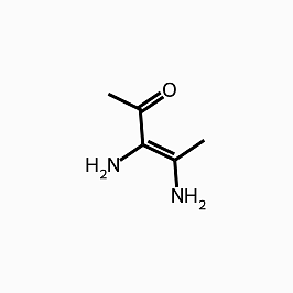 CC(=O)/C(N)=C(\C)N